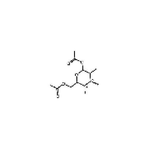 CC(=O)OCC1OC(OC(C)=O)C(C)[C@@H](F)[C@@H]1C